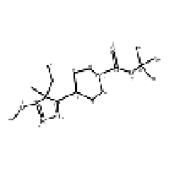 CCC1(C)C(OC)=NN=C1C1CCN(C(=O)OC(C)(C)C)CC1